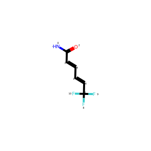 [NH]C(=O)C=CC=CC(F)(F)F